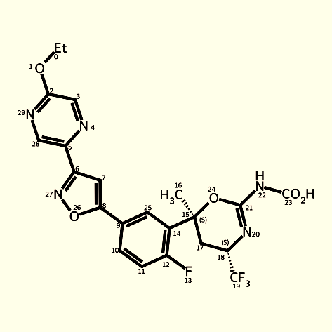 CCOc1cnc(-c2cc(-c3ccc(F)c([C@]4(C)C[C@@H](C(F)(F)F)N=C(NC(=O)O)O4)c3)on2)cn1